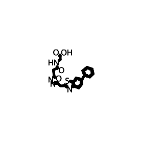 O=C(O)CNC(=O)Cc1nnc(Cc2nc3ccc(-c4ccccc4)cc3s2)o1